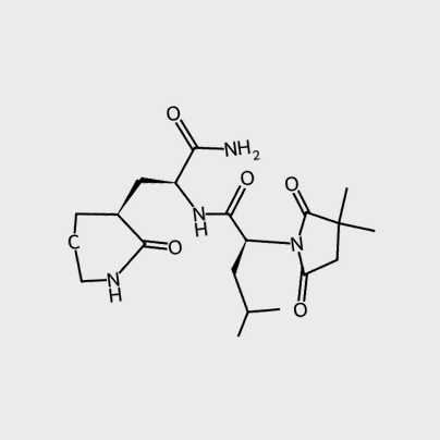 CC(C)C[C@@H](C(=O)N[C@@H](C[C@@H]1CCCNC1=O)C(N)=O)N1C(=O)CC(C)(C)C1=O